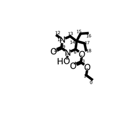 CCOC(=O)OC1N(O)C(=O)N(C)CC1(CC)CC